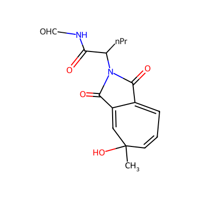 CCCC(C(=O)NC=O)N1C(=O)C2=CC=CC(C)(O)C=C2C1=O